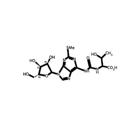 CSc1nc(NC(=O)NC(C(=O)O)C(C)O)c2ncn(C3O[C@H](CO)[C@@H](O)[C@H]3O)c2n1